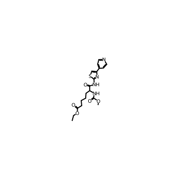 CCOC(=O)CCCCC(NC(=O)OC)C(=O)Nc1nc(-c2ccncc2)cs1